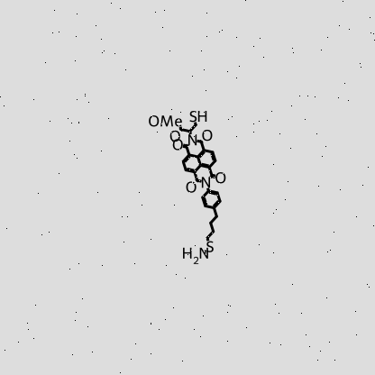 COC(=O)C(CS)N1C(=O)c2ccc3c4c(ccc(c24)C1=O)C(=O)N(c1ccc(CCCCSN)cc1)C3=O